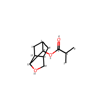 CC(C)C(=O)OC1C2CC3COC1C3C2